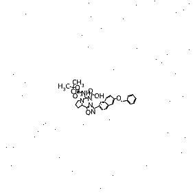 CC(C)(C)OC(=O)NC(=NC(=O)O)N1CCCC1c1nc(-c2ccc3cc(OCc4ccccc4)ccc3c2)no1